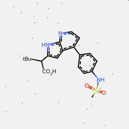 CC(C)(C)C(C(=O)O)c1cc2c(-c3ccc(NS(C)(=O)=O)cc3)ccnc2[nH]1